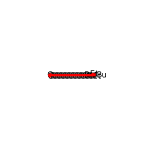 C=C(C)C(=O)OCCOCCOCCOCCOCCOCCOCCOCCOCCOCCOCCOCCOCCOCCOCCOCCOCCOCCOCCOCCOCCN(CC(CC)CCCC)CC(CC)CCCC